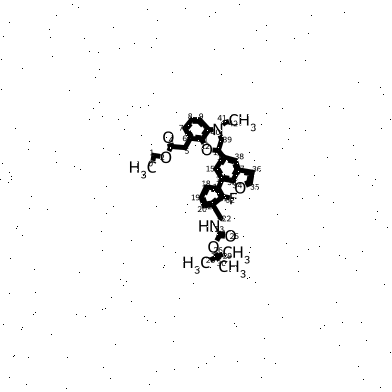 CCOC(=O)Cc1cccc2c1OC(c1cc(-c3cccc(CNC(=O)OC(C)(C)C)c3F)c3occc3c1)CN2CC